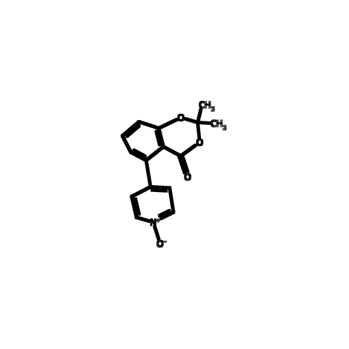 CC1(C)OC(=O)c2c(cccc2-c2cc[n+]([O-])cc2)O1